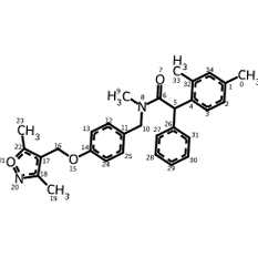 Cc1ccc(C(C(=O)N(C)Cc2ccc(OCc3c(C)noc3C)cc2)c2ccccc2)c(C)c1